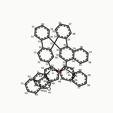 c1ccc(N(c2ccccc2)c2ccc3c(c2)C2(c4ccccc4-3)c3ccccc3-c3c2cc(N(c2ccccc2)c2ccc4c(c2)oc2ccccc24)c2ccccc32)cc1